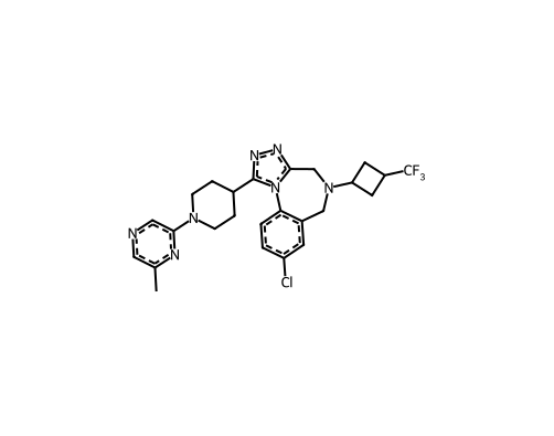 Cc1cncc(N2CCC(c3nnc4n3-c3ccc(Cl)cc3CN(C3CC(C(F)(F)F)C3)C4)CC2)n1